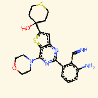 N=Cc1c(N)cccc1-c1nc(N2CCOCC2)c2sc(C3(O)CCSCC3)cc2n1